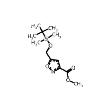 COC(=O)c1cc(CO[Si](C)(C)C(C)(C)C)on1